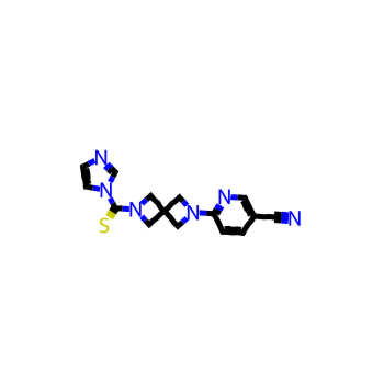 N#Cc1ccc(N2CC3(CN(C(=S)n4ccnc4)C3)C2)nc1